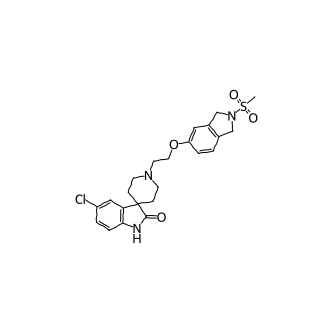 CS(=O)(=O)N1Cc2ccc(OCCN3CCC4(CC3)C(=O)Nc3ccc(Cl)cc34)cc2C1